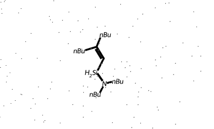 CCCCC(=C[SiH2]N(CCCC)CCCC)CCCC